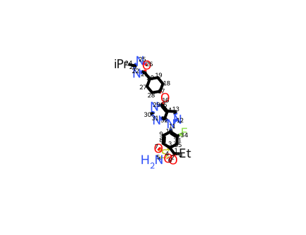 CCC(=O)C1(S(N)(=O)=O)C=CC(n2ncc3c(OC4CCC(c5nc(C(C)C)no5)CC4)ncnc32)=C(F)C1